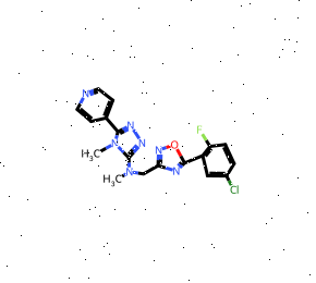 CN(Cc1noc(-c2cc(Cl)ccc2F)n1)c1nnc(-c2ccncc2)n1C